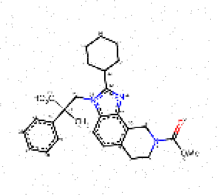 COC(=O)N1CCc2ccc3c(nc(C4CCCCC4)n3C[C@](C)(C(=O)O)c3ccccc3)c2C1